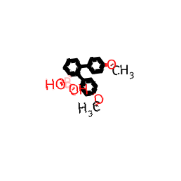 COc1ccc(-c2cccc(B(O)O)c2-c2ccc(OC)cc2)cc1